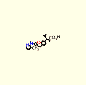 C[C@H](C(=O)O)C(c1ccc2c(c1)OC1(CC2)CC(N(C)c2ncccc2C(F)(F)F)C1)C1CC1